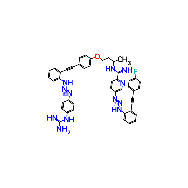 CC(CCOc1ccc(C#Cc2ccccc2N/N=N/c2ccc(NC(=N)N)cc2)cc1)NC(=N)c1ccc(/N=N/Nc2ccccc2C#Cc2ccc(F)cc2)cn1